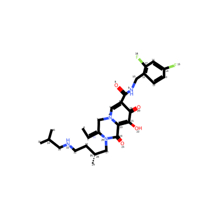 C/C=C1\Cn2cc(C(=O)NCc3ccc(F)cc3F)c(=O)c(O)c2C(=O)N1C[C@H](C)CCNCC(C)C